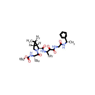 CCCC(NC(=O)[C@@H]1[C@@H]2[C@H](CN1C(=O)[C@@H](NC(=O)OC(C)(C)C)C(C)(C)C)C2(C)C)C(=O)C(=O)NCC(=O)N[C@@H](C)c1ccccc1